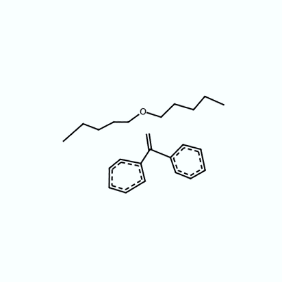 C=C(c1ccccc1)c1ccccc1.CCCCCOCCCCC